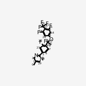 Cc1cnc(-c2ccc(C(F)(F)Oc3cc(F)c(C(F)(F)F)c(F)c3)c(F)c2)nc1